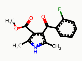 COC(=O)c1c(C)[nH]c(C)c1C(=O)c1ccccc1F